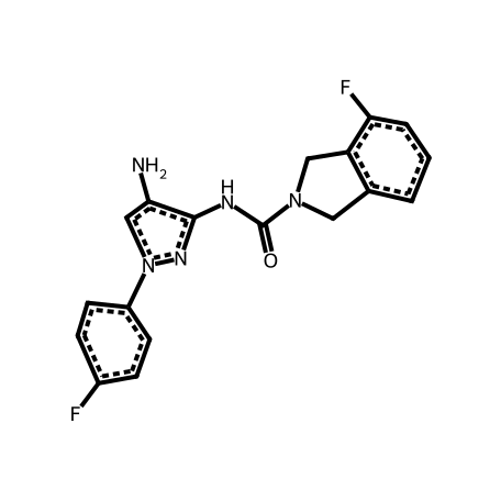 Nc1cn(-c2ccc(F)cc2)nc1NC(=O)N1Cc2cccc(F)c2C1